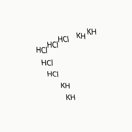 Cl.Cl.Cl.Cl.Cl.[KH].[KH].[KH].[KH]